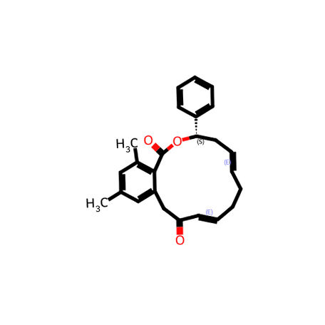 Cc1cc(C)c2c(c1)CC(=O)/C=C/CC/C=C/C[C@@H](c1ccccc1)OC2=O